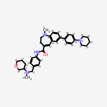 CN1CCC(C(=O)Nc2ccc(CN(C)C3CCCOC3)cc2)=Cc2cc(-c3ccc(N4CCCCC4)cc3)ccc21